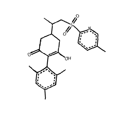 Cc1ccc(S(=O)(=O)CC(C)C2CC(=O)C(c3c(C)cc(C)cc3C)=C(O)C2)nc1